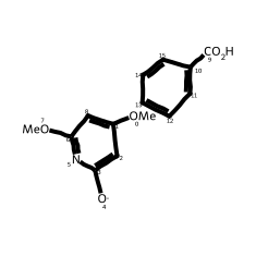 COc1cc([O])nc(OC)c1.O=C(O)c1ccccc1